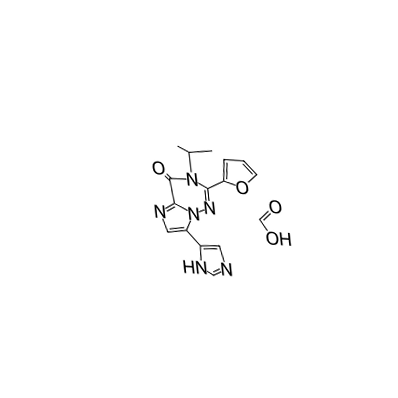 CC(C)n1c(-c2ccco2)nn2c(-c3cnc[nH]3)cnc2c1=O.O=CO